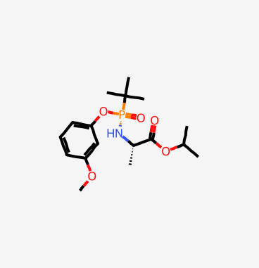 COc1cccc(O[P@@](=O)(N[C@@H](C)C(=O)OC(C)C)C(C)(C)C)c1